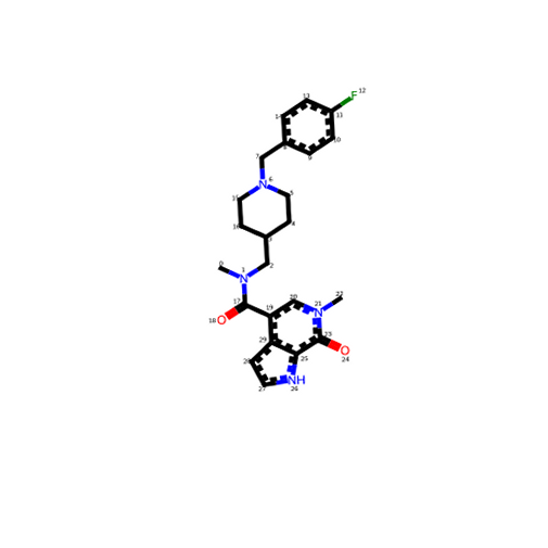 CN(CC1CCN(Cc2ccc(F)cc2)CC1)C(=O)c1cn(C)c(=O)c2[nH]ccc12